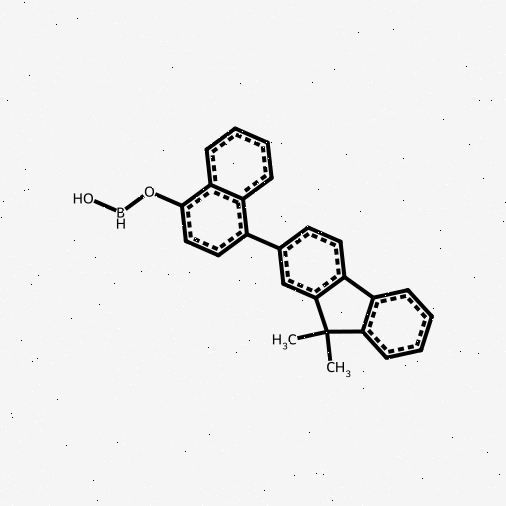 CC1(C)c2ccccc2-c2ccc(-c3ccc(OBO)c4ccccc34)cc21